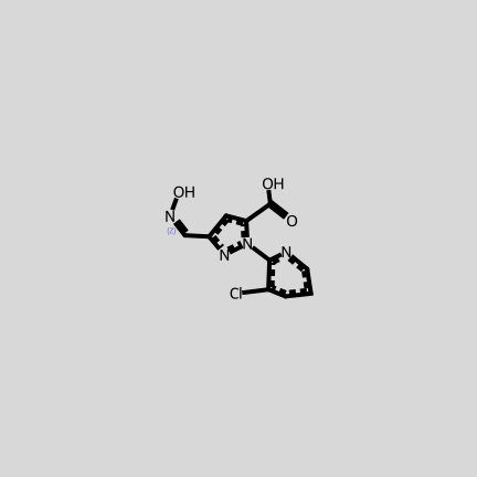 O=C(O)c1cc(/C=N\O)nn1-c1ncccc1Cl